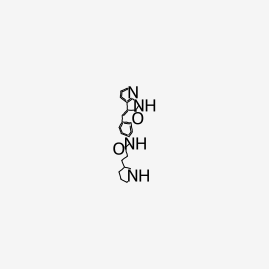 O=C(CCC1CCCNC1)Nc1ccc(C=C2C(=O)Nc3ncccc32)cc1